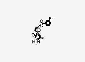 Nc1nc(=O)n([C@H]2CC[C@@H](COC(=O)c3cccc(Br)c3)O2)cc1F